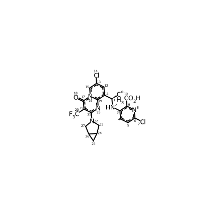 C[C@@H](Nc1ccc(Cl)nc1C(=O)O)c1cc(Cl)cn2c(=O)c(C(F)(F)F)c(N3CC4CC4C3)nc12